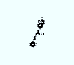 Cl.O=c1ccc2cc(OCC(O)CNCCOc3ccccc3)ccc2[nH]1